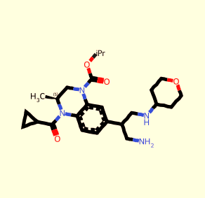 CC(C)OC(=O)N1C[C@H](C)N(C(=O)C2CC2)c2ccc(C(CN)CNC3CCOCC3)cc21